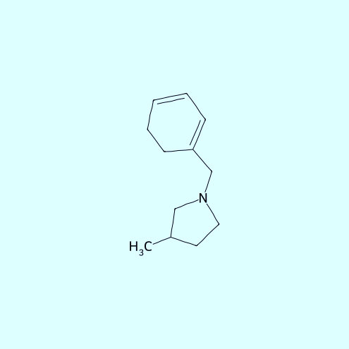 CC1CCN(CC2=CC=CCC2)C1